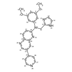 COc1cc(OC)cc(N(Cc2ncc[nH]2)c2ccc3ncc(-c4ccncc4)cc3n2)c1